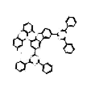 CC(C)(C)c1ccc2c(c1)B1c3c(cccc3-n3c4ccc(-c5nc(-c6ccccc6)nc(-c6ccccc6)n5)cc4c4cc(-c5nc(-c6ccccc6)nc(-c6ccccc6)n5)cc1c43)O2